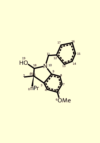 CCC[C@]1(C)c2cc(OC)ccc2N(Cc2ccccc2)C1O